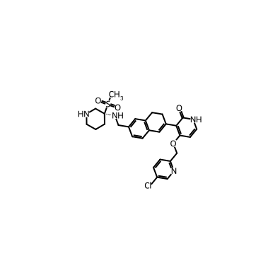 CS(=O)(=O)[C@@]1(NCc2ccc3c(c2)CCC(c2c(OCc4ccc(Cl)cn4)cc[nH]c2=O)=C3)CCCNC1